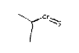 C[CH](C)[Cr]=[S]